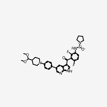 COC(OC)C1CCN(c2ccc(-c3cnc4[nH]cc(C(=O)c5c(F)ccc(N[S+]([O-])N6CCCC6)c5F)c4c3)cc2)CC1